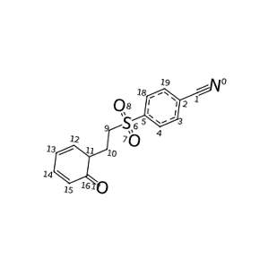 N#Cc1ccc(S(=O)(=O)CCC2C=CC=CC2=O)cc1